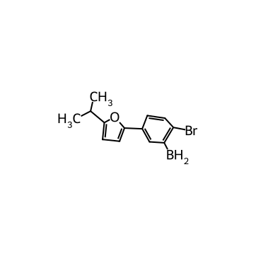 Bc1cc(-c2ccc(C(C)C)o2)ccc1Br